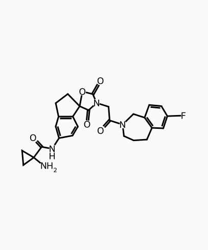 NC1(C(=O)Nc2ccc3c(c2)CCC32OC(=O)N(CC(=O)N3CCCc4cc(F)ccc4C3)C2=O)CC1